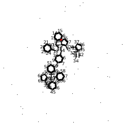 CC1=[C]([Ti]([CH2]c2ccccc2)([CH2]c2ccccc2)[CH2]c2ccccc2)CC=C1.CC1=[C]([Ti]([CH3])([CH3])[CH3])CC=C1.CC1=[C]([Ti]([c]2ccccc2)([c]2ccccc2)[c]2ccccc2)CC=C1